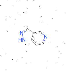 C1=[N+]Nc2ccncc21